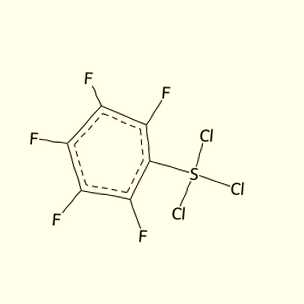 Fc1c(F)c(F)c(S(Cl)(Cl)Cl)c(F)c1F